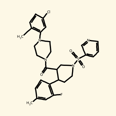 Cc1ccc(C2CCN(S(=O)(=O)c3cccnc3)CC2C(=O)N2CCN(c3cc(Cl)ccc3C)CC2)c(F)c1